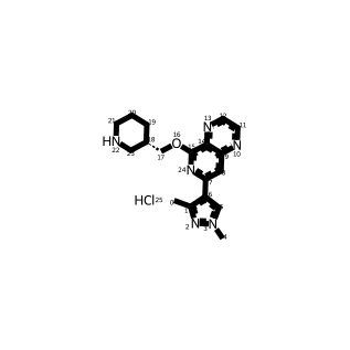 Cc1nn(C)cc1-c1cc2nccnc2c(OC[C@H]2CCCNC2)n1.Cl